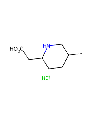 CC1CCC(CC(=O)O)NC1.Cl